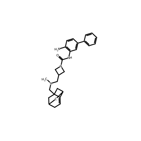 CN(CC1CN(C(=O)Nc2cc(-c3ccccc3)ccc2N)C1)CC12CC3CC=C1C(C3)C2